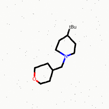 CC(C)(C)C1CCN(CC2CCOCC2)CC1